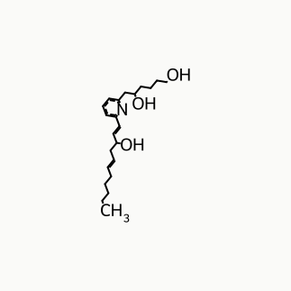 CCCCCC=CCC(O)C=Cc1cccc(CC(O)CCCCO)n1